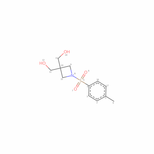 Cc1ccc(S(=O)(=O)N2CC(CO)(CO)C2)cc1